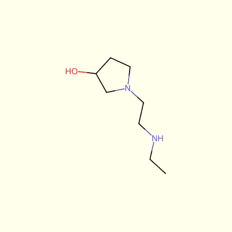 CCNCCN1CCC(O)C1